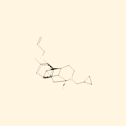 C=CCOC1C[C@]23CCN(CC4CC4)[C@H](Cc4ccc(C)cc42)C3C2CC12